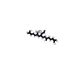 CCC(O)C(/C=C(\C)CCC=C(C)C)C/C=C(\C)CCC=C(C)C